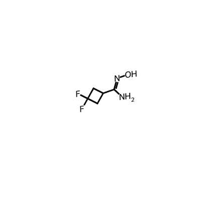 N/C(=N\O)C1CC(F)(F)C1